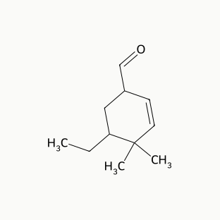 CCC1CC(C=O)C=CC1(C)C